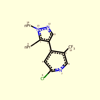 CCCc1c(-c2cc(Cl)ncc2C(F)(F)F)cnn1CCC